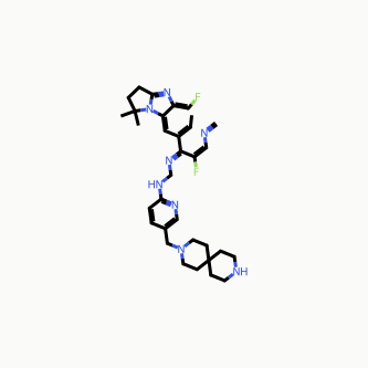 C=N/C=C(/F)C(=NCNc1ccc(CN2CCC3(CCNCC3)CC2)cn1)C(=C/C)/C=c1\c(=C\F)nc2n1C(C)(C)CC2